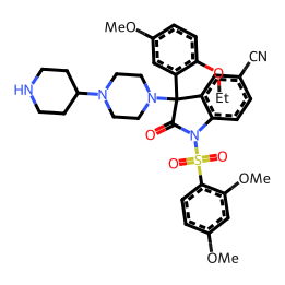 CCOc1ccc(OC)cc1C1(N2CCN(C3CCNCC3)CC2)C(=O)N(S(=O)(=O)c2ccc(OC)cc2OC)c2ccc(C#N)cc21